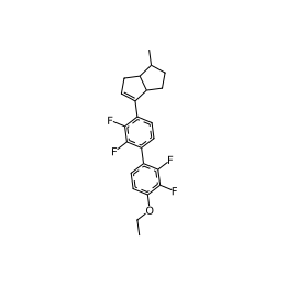 CCOc1ccc(-c2ccc(C3=CCC4C(C)CCC34)c(F)c2F)c(F)c1F